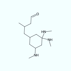 CNC1CC(CC(C)CC=O)CC(NC)(NC)C1